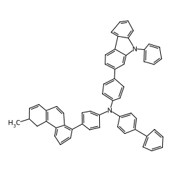 CC1C=Cc2ccc3c(-c4ccc(N(c5ccc(-c6ccccc6)cc5)c5ccc(-c6ccc7c8ccccc8n(-c8ccccc8)c7c6)cc5)cc4)cccc3c2C1